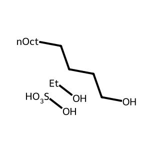 CCCCCCCCCCCCO.CCO.O=S(=O)(O)O